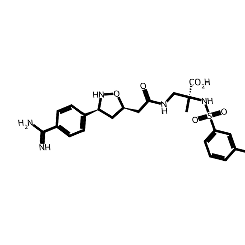 Cc1cccc(S(=O)(=O)N[C@@](C)(CNC(=O)C[C@H]2C[C@@H](c3ccc(C(=N)N)cc3)NO2)C(=O)O)c1